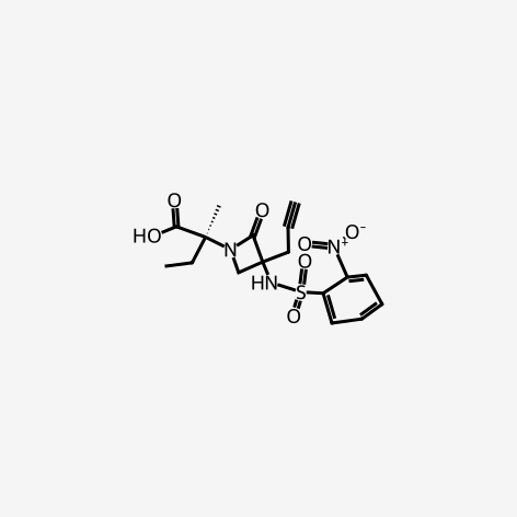 C#CCC1(NS(=O)(=O)c2ccccc2[N+](=O)[O-])CN([C@@](C)(CC)C(=O)O)C1=O